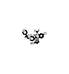 CC(C)c1ccnn1C1(C(=O)Nc2ccc(Cl)cc2OC(F)F)CCN(CC(C)(C(=O)O)C2CCOCC2)CC1